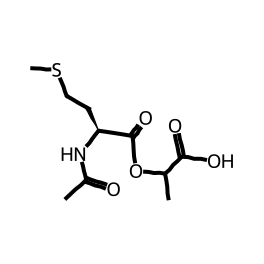 CSCC[C@H](NC(C)=O)C(=O)OC(C)C(=O)O